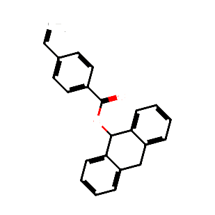 C=Cc1ccc(C(=O)OC2c3ccccc3Cc3ccccc32)cc1